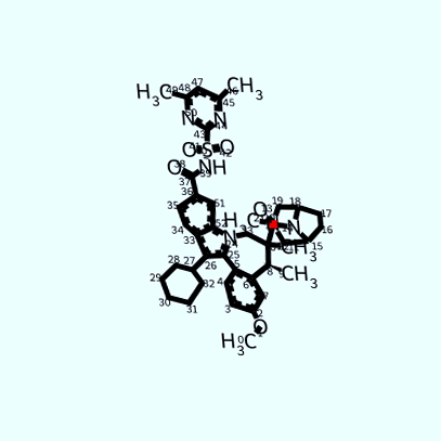 COc1ccc2c(c1)[C@H](C)C(C)(C(=O)N1C3CCC1CN(C)C3)Cn1c-2c(C2CCCCC2)c2ccc(C(=O)NS(=O)(=O)c3nc(C)cc(C)n3)cc21